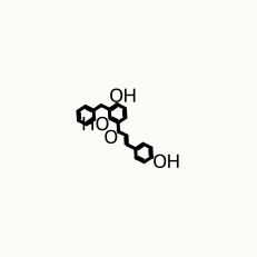 O=C(C=Cc1ccc(O)cc1)c1ccc(O)c(Cc2ccccc2)c1O